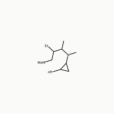 CCCC1CC1N(C)C(C)C(CC)CNC